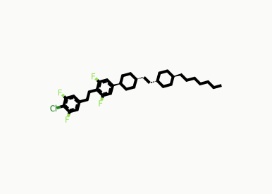 CCCCCCC[C@H]1CC[C@H](CC[C@H]2CC[C@H](c3cc(F)c(CCc4cc(F)c(Cl)c(F)c4)c(F)c3)CC2)CC1